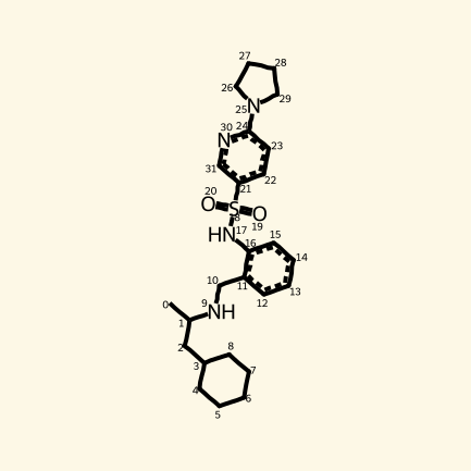 CC(CC1CCCCC1)NCc1ccccc1NS(=O)(=O)c1ccc(N2CCCC2)nc1